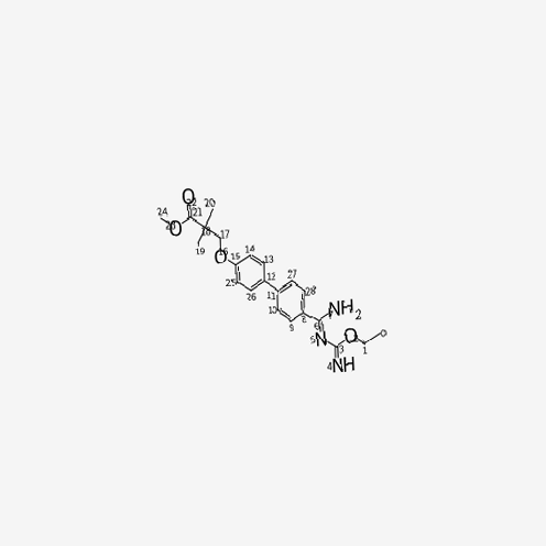 CCOC(=N)/N=C(\N)c1ccc(-c2ccc(OCC(C)(C)C(=O)OC)cc2)cc1